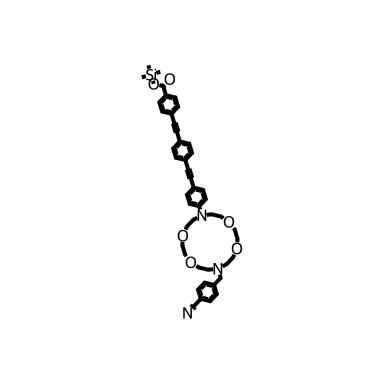 C[Si](C)(C)OC(=O)c1ccc(C#Cc2ccc(C#Cc3ccc(N4CCOCCOCCN(Cc5ccc(C#N)cc5)CCOCCOCC4)cc3)cc2)cc1